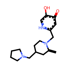 C=C1CC(CN2CCCC2)CCN1Cc1cc(=O)c(O)c[nH]1